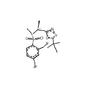 C[C@@H](c1nnc(C(C)(C)C)o1)N(C)S(=O)(=O)c1ccc(Br)cc1Br